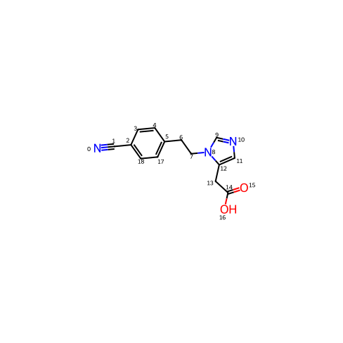 N#Cc1ccc(CCn2cncc2CC(=O)O)cc1